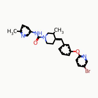 Cc1ccc(NC(=O)N2CC/C(=C\c3cccc(Oc4ccc(Br)cn4)c3)C(C)C2)cn1